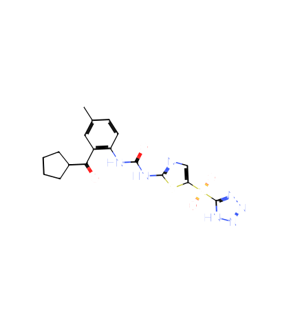 Cc1ccc(NC(=O)Nc2ncc(S(=O)(=O)c3nnn[nH]3)s2)c(C(=O)C2CCCC2)c1